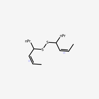 C/C=C\C(CCC)SSC(/C=C\C)CCC